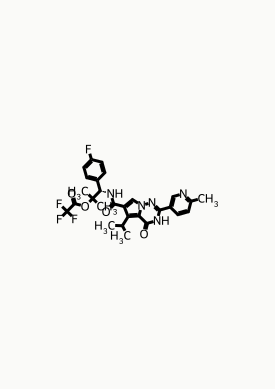 Cc1ccc(-c2nn3cc(C(=O)N[C@@H](c4ccc(F)cc4)C(C)(C)OC(=O)C(F)(F)F)c(C(C)C)c3c(=O)[nH]2)cn1